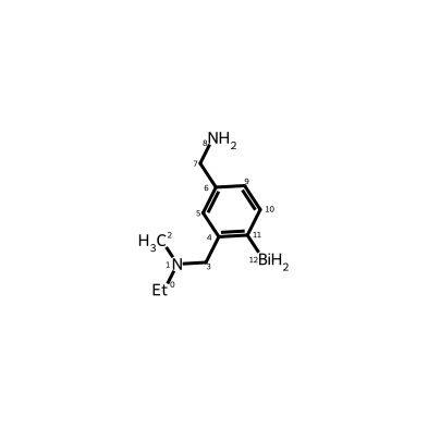 CCN(C)Cc1cc(CN)cc[c]1[BiH2]